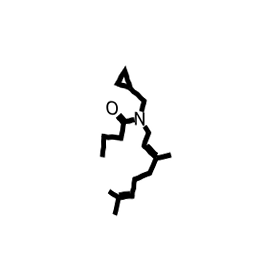 CCCC(=O)N(C/C=C(\C)CCC=C(C)C)CC1CC1